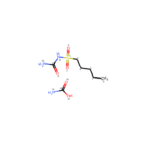 CCCCCS(=O)(=O)NC(N)=O.NC(=O)O